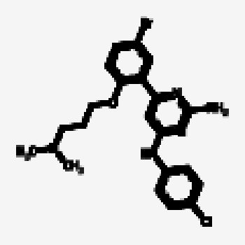 CN(C)CCCOc1ccc(Br)cc1-c1cc(Nc2ccc(Cl)cc2)nc(N)n1